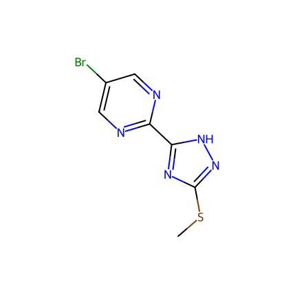 CSc1n[nH]c(-c2ncc(Br)cn2)n1